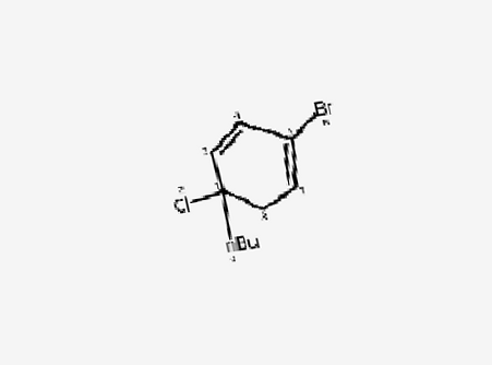 CCCCC1(Cl)C=CC(Br)=CC1